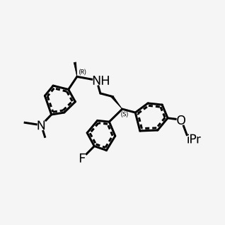 CC(C)Oc1ccc([C@H](CCN[C@H](C)c2ccc(N(C)C)cc2)c2ccc(F)cc2)cc1